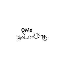 COCCN(CC1CC(c2ccc(CN3CCCC3)cc2)C1)C(C)C